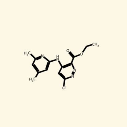 CCOC(=O)c1nnc(Cl)cc1Nc1cc(C)cc(C)n1